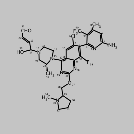 Cc1cc(N)nc(-c2c(Cl)cc3c(N4CCN(C(O)/C=C/C=O)C[C@@H]4C)nc(OCC4CCCN4C)nc3c2F)c1C(F)(F)F